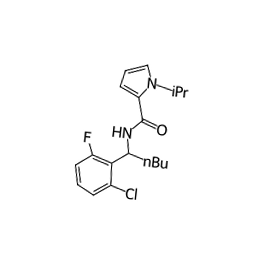 CCCCC(NC(=O)c1cccn1C(C)C)c1c(F)cccc1Cl